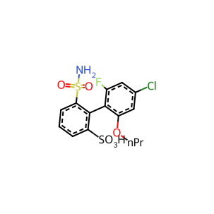 CCCOc1cc(Cl)cc(F)c1-c1c(S(N)(=O)=O)cccc1S(=O)(=O)O